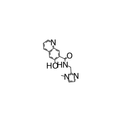 Cn1ccnc1CNC(=O)c1cc2ncccc2cc1O